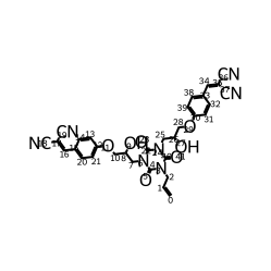 C=CCn1c(=O)n(CC(O)COc2ccc(C=C(C#N)C#N)cc2)c(=O)n(CC(O)COc2ccc(C=C(C#N)C#N)cc2)c1=O